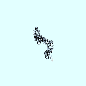 Cc1cc(O[C@H]2CC[C@@H](C(=O)N3CCC(O)(Cn4cnc5c(cnn5-c5ccc(F)cc5)c4=O)CC3)CC2)no1